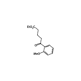 CCOC(=O)CCCC(=O)c1ccccc1OC